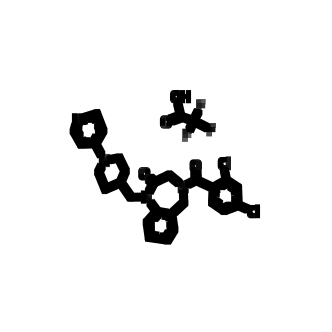 O=C(O)C(F)(F)F.O=C(c1ccc(Cl)cc1Cl)N1CC(=O)N(CC2CCN(c3ccncc3)CC2)c2ccccc2C1